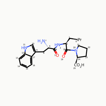 CC(C)C[C@H](NC(=O)[C@@H](N)Cc1c[nH]c2ccccc12)C(=O)N1CCC[C@H]1C(=O)O